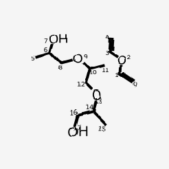 C=COC=C.CC(O)COC(C)COC(C)CO